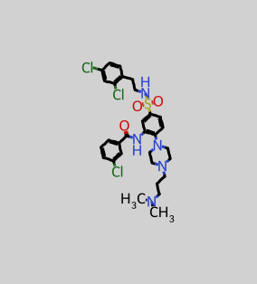 CN(C)CCCN1CCN(c2ccc(S(=O)(=O)NCCc3ccc(Cl)cc3Cl)cc2NC(=O)c2cccc(Cl)c2)CC1